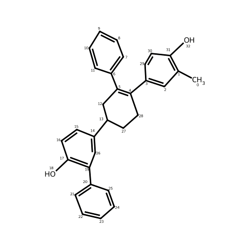 Cc1cc(C2=C(c3ccccc3)CC(c3ccc(O)c(-c4ccccc4)c3)CC2)ccc1O